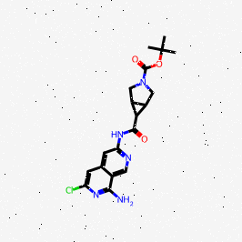 CC(C)(C)OC(=O)N1CC2C(C1)C2C(=O)Nc1cc2cc(Cl)nc(N)c2cn1